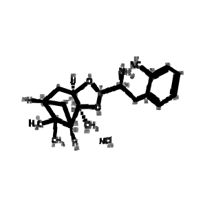 CC1(C)[C@@H]2C[C@H]3OB([C@@H](N)Cc4ccccc4C#N)O[C@@]3(C)[C@H]1C2.Cl